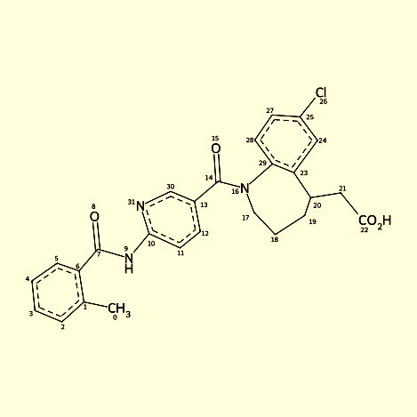 Cc1ccccc1C(=O)Nc1ccc(C(=O)N2CCCC(CC(=O)O)c3cc(Cl)ccc32)cn1